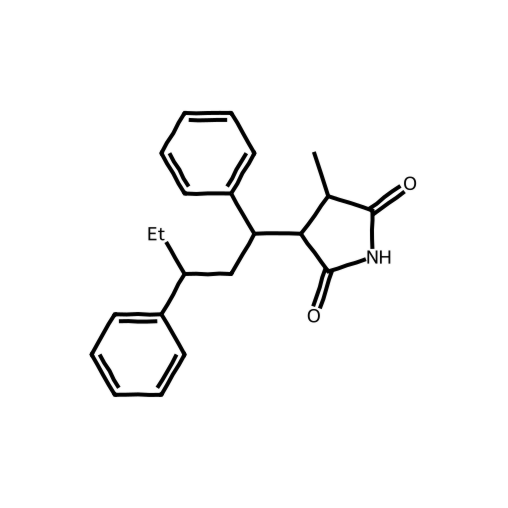 CCC(CC(c1ccccc1)C1C(=O)NC(=O)C1C)c1ccccc1